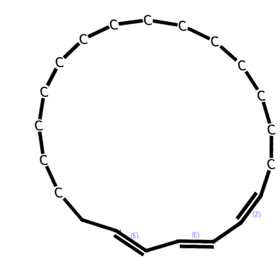 [C]1=C/C=C/C=C\CCCCCCCCCCCCCCC/1